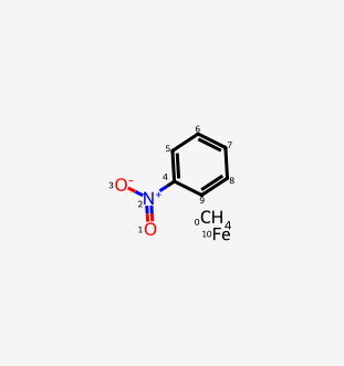 C.O=[N+]([O-])c1ccccc1.[Fe]